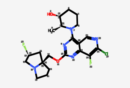 C[C@@H]1[C@H](O)CCCN1c1nc(OC[C@@]23CCCN2C[C@H](F)C3)nc2c(F)c(Cl)ncc12